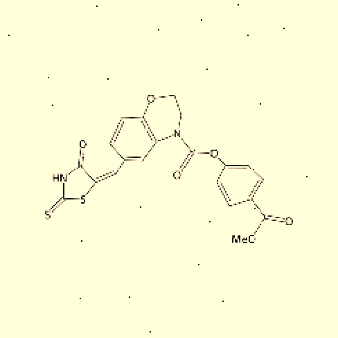 COC(=O)c1ccc(OC(=O)N2CCOc3ccc(/C=C4/SC(=S)NC4=O)cc32)cc1